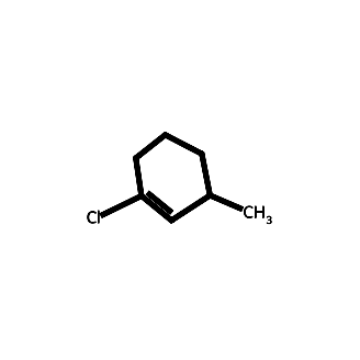 CC1C=C(Cl)CCC1